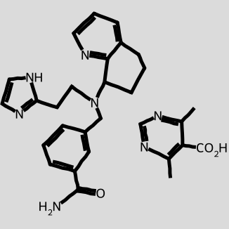 Cc1ncnc(C)c1C(=O)O.NC(=O)c1cccc(CN(CCc2ncc[nH]2)C2CCCc3cccnc32)c1